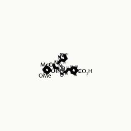 COc1ccccc1Oc1c(NS(=O)(=O)CCc2ccc(C(=O)O)cc2)nc(-c2cccnn2)nc1OC